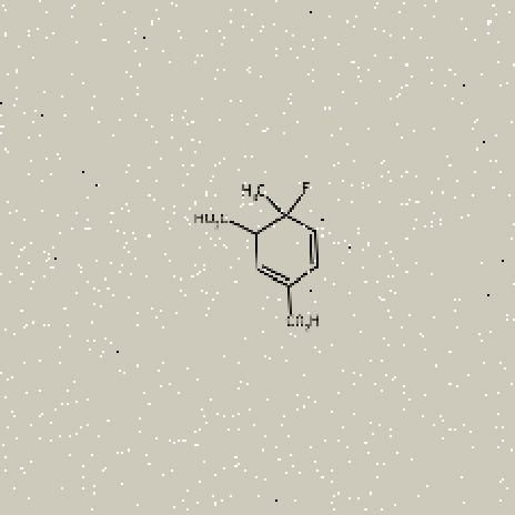 CC1(F)C=CC(C(=O)O)=CC1C(=O)O